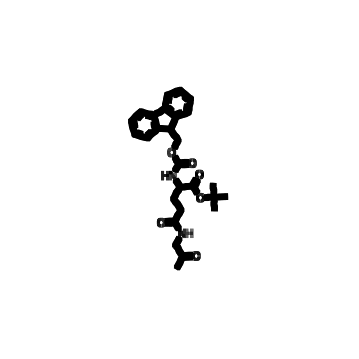 CC(=O)CNC(=O)CCC(NC(=O)OCC1c2ccccc2-c2ccccc21)C(=O)OC(C)(C)C